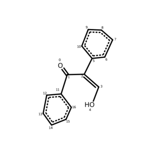 O=C(/C(=C\O)c1ccccc1)c1ccccc1